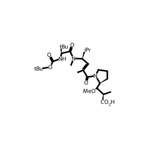 CO[C@H]([C@@H](C)C(=O)O)[C@@H]1CCCN1C(=O)C(C)=C[C@H](C(C)C)N(C)C(=O)[C@@H](NC(=O)OC(C)(C)C)C(C)(C)C